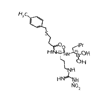 Cc1ccc(CSCCC(=O)N[C@@H](CCCNC(=N)N[N+](=O)[O-])C(=O)N[C@@H](CC(C)C)B(O)O)cc1